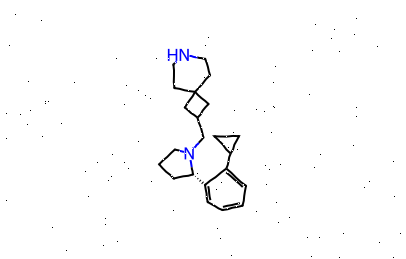 c1ccc([C@@H]2CCCN2CC2CC3(CCNCC3)C2)c(C2CC2)c1